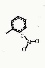 Cc1cc[c]cc1.[Cl][Al]([Cl])[Cl]